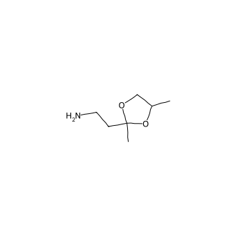 CC1COC(C)(CCN)O1